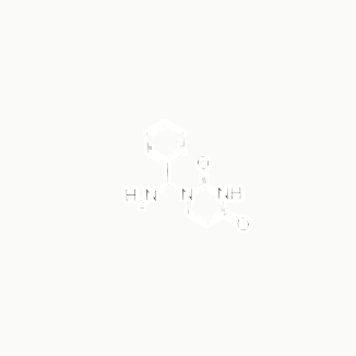 NC(c1ccccc1)n1ccc(=O)[nH]c1=O